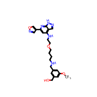 OCc1cc(CNCCCCOCCNc2cc(-c3cnoc3)nc3[nH]ncc23)cc(OC(F)(F)F)c1